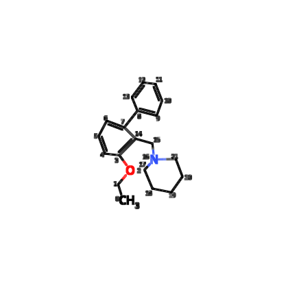 CCOc1cccc(-c2ccccc2)c1CN1CCCCC1